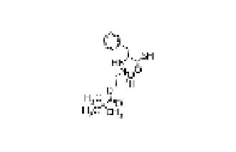 [3H]ON(CCOC(=O)C(C)(C)C)NC(Cc1ccccc1)C(=O)S